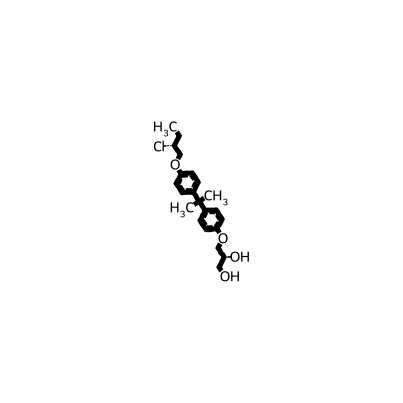 CC[C@@H](Cl)COc1ccc(C(C)(C)c2ccc(OC[C@H](O)CO)cc2)cc1